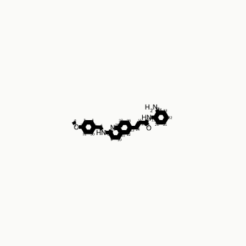 COc1ccc(CNc2ccc3cc(/C=C/C(=O)Nc4ccccc4N)ccc3n2)cc1